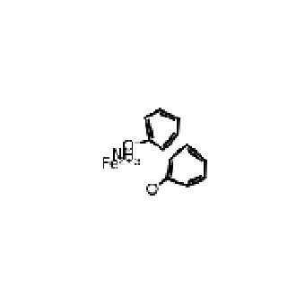 N.[Fe+2].[O-]c1ccccc1.[O-]c1ccccc1